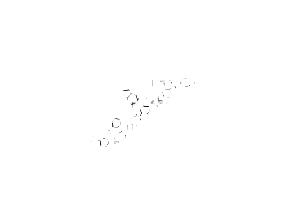 COc1ccc(CN2CCN(C3CC4(CCN(c5ccc(C(=O)NS(=O)(=O)c6cnc(NCC7(C)CCOCC7)c([NH+](C)[O-])c6)c(Oc6cc7c(nc6OC)CC=C7F)c5)CC4)C3)[C@H](c3ccccc3C(C)C)C2)cc1